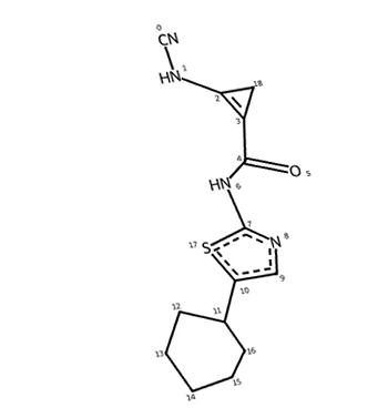 N#CNC1=C(C(=O)Nc2ncc(C3CCCCC3)s2)C1